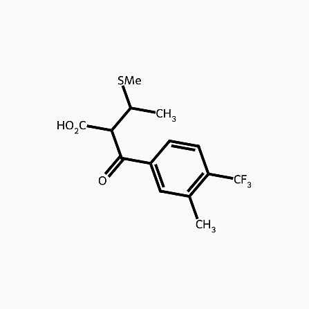 CSC(C)C(C(=O)O)C(=O)c1ccc(C(F)(F)F)c(C)c1